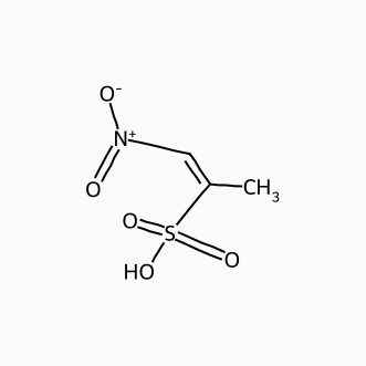 CC(=C[N+](=O)[O-])S(=O)(=O)O